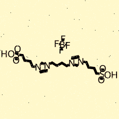 F[B-](F)(F)F.O=S(=O)(O)CCCCN1C=CN(CCCCN2C=CN(CCCCS(=O)(=O)O)C2)C1